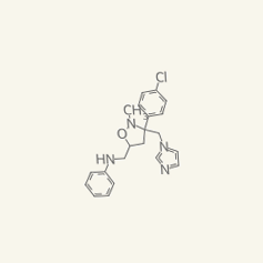 CN1OC(CNc2ccccc2)CC1(Cn1ccnc1)c1ccc(Cl)cc1